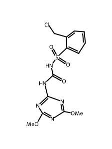 COc1nc(NC(=O)NS(=O)(=O)c2ccccc2CCl)nc(OC)n1